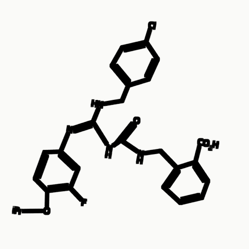 CC(C)Oc1ccc(/N=C(/NCc2ccc(Cl)cc2)NC(=O)NCc2ccccc2C(=O)O)cc1F